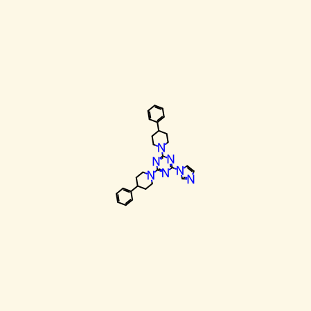 c1ccc(C2CCN(c3nc(N4CCC(c5ccccc5)CC4)nc(-n4ccnc4)n3)CC2)cc1